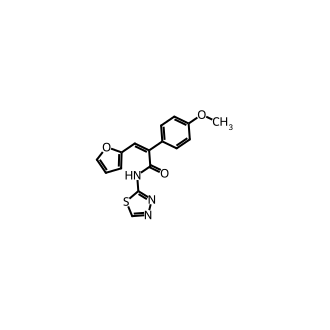 COc1ccc(C(=Cc2ccco2)C(=O)Nc2nncs2)cc1